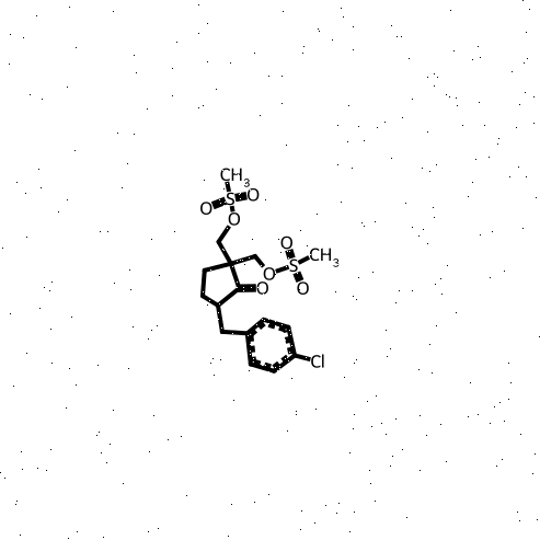 CS(=O)(=O)OCC1(COS(C)(=O)=O)CCC(Cc2ccc(Cl)cc2)C1=O